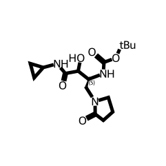 CC(C)(C)OC(=O)N[C@@H](CN1CCCC1=O)C(O)C(=O)NC1CC1